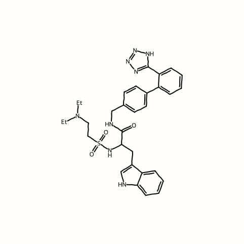 CCN(CC)CCS(=O)(=O)NC(Cc1c[nH]c2ccccc12)C(=O)NCc1ccc(-c2ccccc2-c2nnn[nH]2)cc1